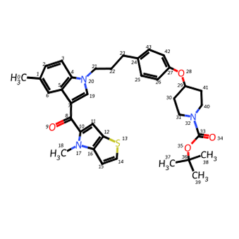 Cc1ccc2c(c1)c(C(=O)c1cc3sccc3n1C)cn2CCCc1ccc(OC2CCN(C(=O)OC(C)(C)C)CC2)cc1